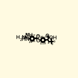 CC(C)(C)CC(C(=O)O)c1ccc(OC(=O)c2ccc(NC(=N)N)cc2)cc1